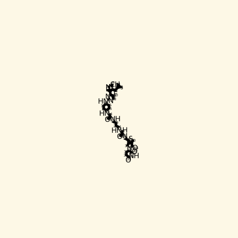 Cn1ncc(-c2nc(NC3CCC(NCC(=O)NCCCCNCC(=O)NCc4scc5c4CN(C4CCC(=O)NC4=O)C5=O)CC3)ncc2F)c1CC1CC1